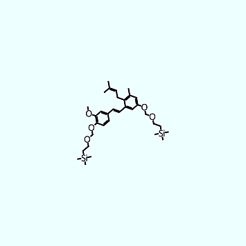 COc1cc(/C=C/c2cc(OCOCC[Si](C)(C)C)cc(C)c2CC=C(C)C)ccc1OCOCC[Si](C)(C)C